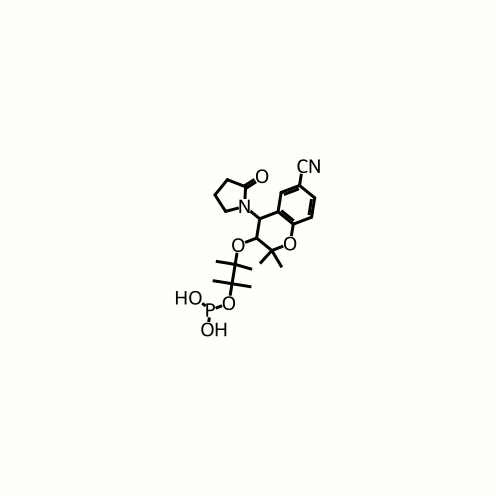 CC1(C)Oc2ccc(C#N)cc2C(N2CCCC2=O)C1OC(C)(C)C(C)(C)OP(O)O